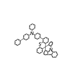 c1ccc(-c2ccc(N(c3ccccc3)c3ccc(-c4cccc5c4Sc4ccccc4C54c5ccccc5-n5c6ccccc6c6cccc4c65)cc3)cc2)cc1